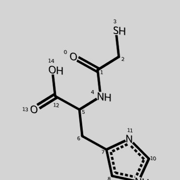 O=C(CS)NC(Cc1c[nH]cn1)C(=O)O